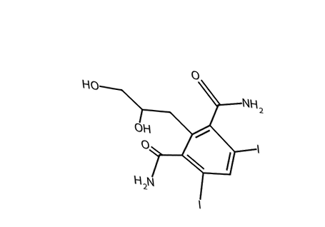 NC(=O)c1c(I)cc(I)c(C(N)=O)c1CC(O)CO